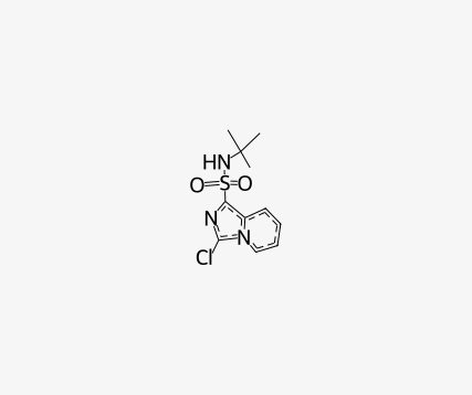 CC(C)(C)NS(=O)(=O)c1nc(Cl)n2ccccc12